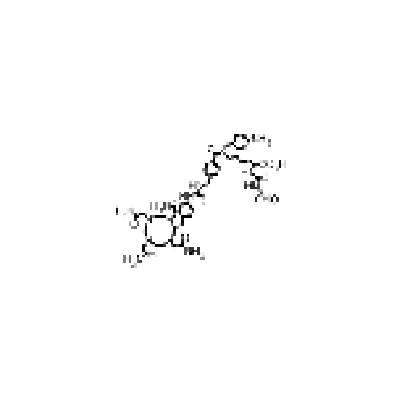 Cc1ccc(CN(CCCCC(NC(=O)NCC=O)C(=O)O)C(=O)c2ccc(CNC(=S)Nc3ccc(CC4CN(CC(N)=O)CCN(CC(N)=O)CCN(CC(N)=O)CCN4CC(N)=O)cc3)cc2)cc1